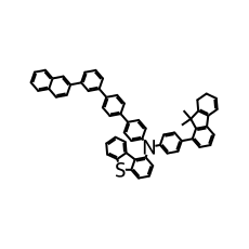 CC1(C)C2=C(C=CCC2)c2cccc(-c3ccc(N(c4ccc(-c5ccc(-c6cccc(-c7ccc8ccccc8c7)c6)cc5)cc4)c4cccc5sc6ccccc6c45)cc3)c21